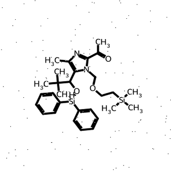 CC(=O)c1nc(C)c(C(O[SiH](c2ccccc2)c2ccccc2)C(C)(C)C)n1COCC[Si](C)(C)C